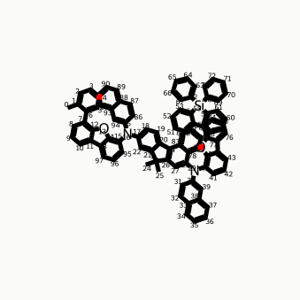 Cc1ccccc1-c1cccc2c1oc1c(N(c3ccc4c(c3)C(C)(C)c3cc(N(c5ccc6ccccc6c5)c5cccc6c5oc5c(-c7ccccc7[Si](c7ccccc7)(c7ccccc7)c7ccccc7)cccc56)c5ccccc5c3-4)c3ccc4ccccc4c3)cccc12